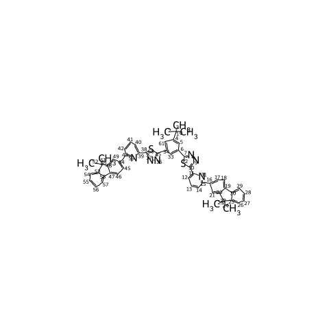 CC(C)(C)c1cc(-c2nnc(-c3cccc(-c4ccc5c(c4)C(C)(C)c4ccccc4-5)n3)s2)cc(-c2nnc(-c3cccc(-c4ccc5c(c4)C(C)(C)c4ccccc4-5)n3)s2)c1